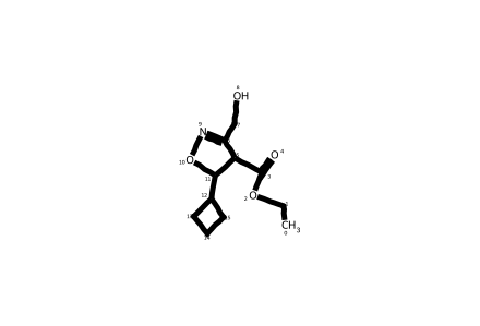 CCOC(=O)C1C(CO)=NOC1C1CCC1